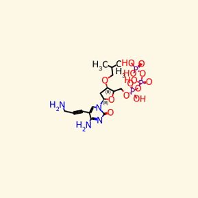 CC(C)CO[C@@H]1C[C@H](n2cc(C#CCN)c(N)nc2=O)OC1COP(=O)(O)OP(=O)(O)OP(=O)(O)O